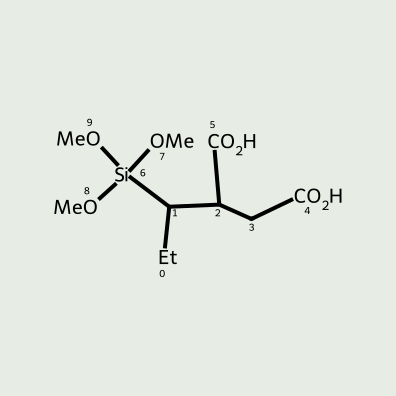 CCC(C(CC(=O)O)C(=O)O)[Si](OC)(OC)OC